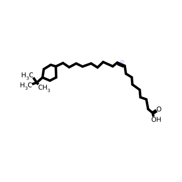 CC(C)(C)C1CCC(CCCCCCCC/C=C\CCCCCCCC(=O)O)CC1